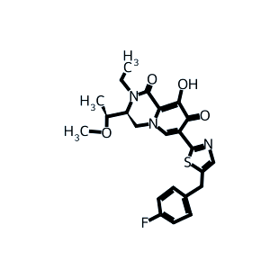 CCN1C(=O)c2c(O)c(=O)c(-c3ncc(Cc4ccc(F)cc4)s3)cn2C[C@H]1[C@H](C)OC